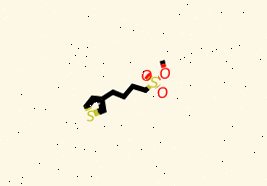 COS(=O)(=O)CCCCc1ccsc1